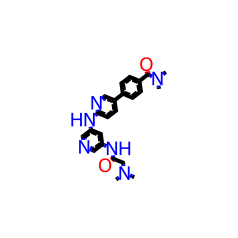 CN(C)CC(=O)Nc1cncc(Nc2ccc(-c3ccc(C(=O)N(C)C)cc3)cn2)c1